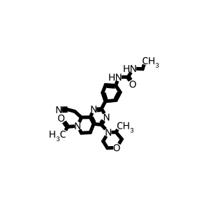 CCNC(=O)Nc1ccc(-c2nc3c(c(N4CCOCC4C)n2)CCN(C(C)=O)C3CC#N)cc1